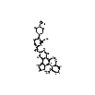 CN1CCC(c2ccc(Nc3ncc4c(=O)n(-c5c(Cl)cccc5Cl)n5ccnc5c4n3)cc2F)CC1